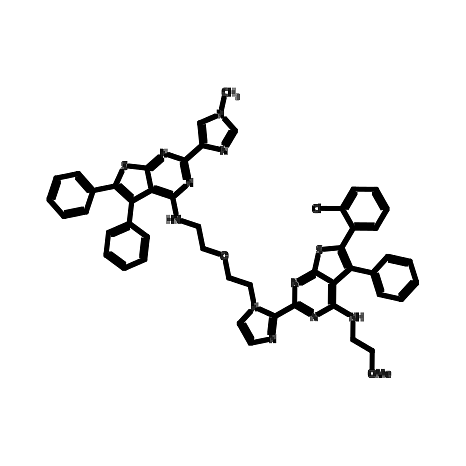 COCCNc1nc(-c2nccn2CCOCCNc2nc(-c3cn(C)cn3)nc3sc(-c4ccccc4)c(-c4ccccc4)c23)nc2sc(-c3ccccc3Cl)c(-c3ccccc3)c12